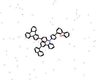 c1cc(-c2ccccc2N(c2ccc(-c3ccc4c5ccccc5c5ccccc5c4c3)cc2)c2ccc(-c3cccc4c3oc3ccccc34)cc2)cc(-c2cccc3ccccc23)c1